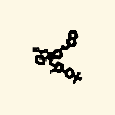 O=C(O)[C@H]1CCCC[C@H]1c1nc2cc(OCc3ccc4ccccc4n3)ccc2n1Cc1ccc(N2CCC(C(F)(F)F)CC2)cc1F